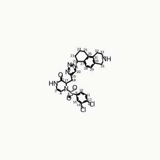 O=C1NC=CN(S(=O)(=O)c2ccc(Cl)c(Cl)c2)C1Cc1cn(C2CCCc3c2ccc2c3CCNC2)nn1